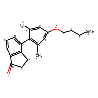 CSCCCOc1cc(C)c(-c2cccc3c2CCC3=O)c(C)c1